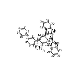 Cc1ccc(-c2ccccc2)cc1-c1cc2c3c(c1)n1c4ccccc4nc1n3c1nc3ccccc3n21